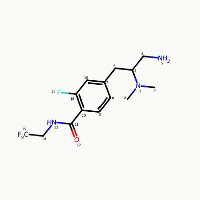 CN(C)C(CN)Cc1ccc(C(=O)NCC(F)(F)F)c(F)c1